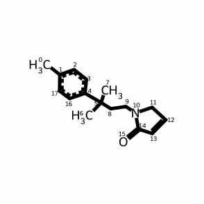 Cc1ccc(C(C)(C)CCN2CC=CC2=O)cc1